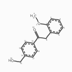 COc1ccccc1CC(=O)c1ccc(CO)cc1